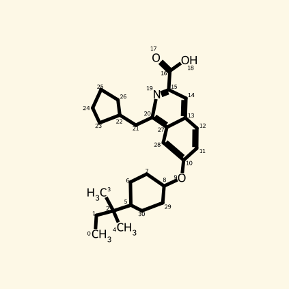 CCC(C)(C)C1CCC(Oc2ccc3cc(C(=O)O)nc(CC4CCCC4)c3c2)CC1